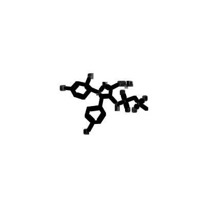 CCOC(=O)c1nn(-c2ccc(Cl)cc2Cl)c(-c2ccc(Cl)cc2)c1NS(=O)(=O)CS(C)(=O)=O